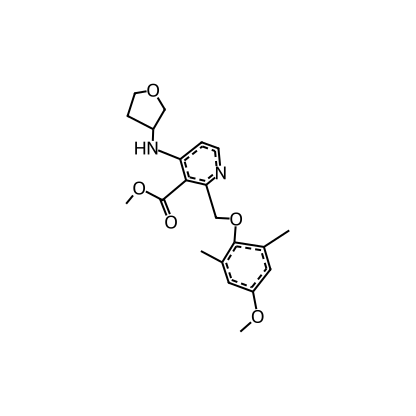 COC(=O)c1c(NC2CCOC2)ccnc1COc1c(C)cc(OC)cc1C